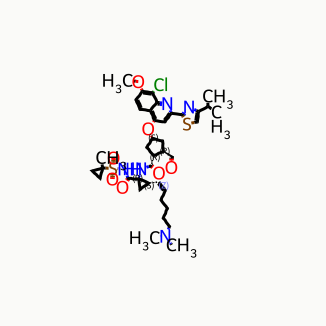 COc1ccc2c(O[C@H]3C[C@@H](C=O)[C@H](C(=O)N[C@]4(C(=O)NS(=O)(=O)C5(C)CC5)C[C@H]4/C=C\CCCCN(C)C)C3)cc(-c3nc(C(C)C)cs3)nc2c1Cl